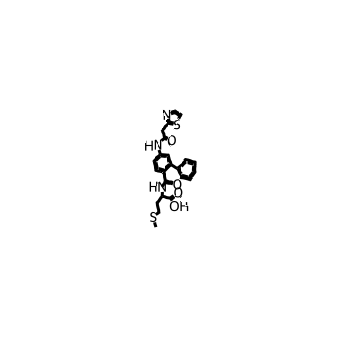 CSCCC(NC(=O)c1ccc(NC(=O)Cc2nccs2)cc1-c1ccccc1)C(=O)O